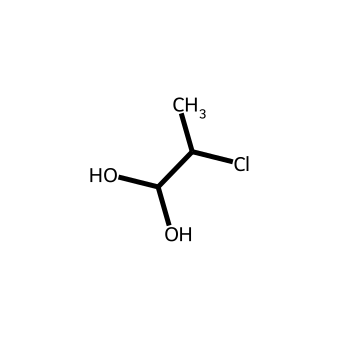 CC(Cl)C(O)O